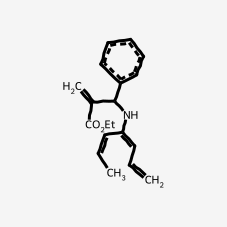 C=C/C=C(\C=C/C)NC(C(=C)C(=O)OCC)c1ccccc1